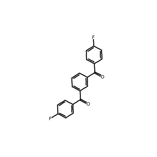 O=C(c1ccc(F)cc1)c1c[c]cc(C(=O)c2ccc(F)cc2)c1